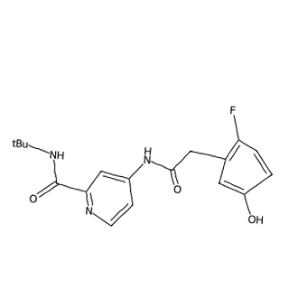 CC(C)(C)NC(=O)c1cc(NC(=O)Cc2cc(O)ccc2F)ccn1